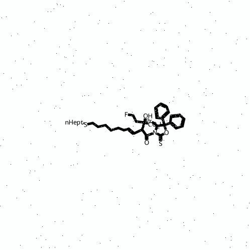 CCCCCCCSCCCCCCC=CC(C(=O)N1C(=S)OC(c2ccccc2)(c2ccccc2)C1C(C)C)C(O)(CCF)C(=O)O